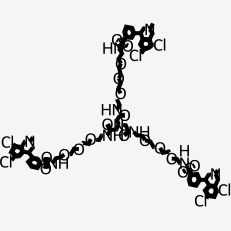 CN1Cc2c(Cl)cc(Cl)cc2C(c2cccc(S(=O)(=O)NCCOCCOCCOCCNC(=O)CN(CC(=O)NCCOCCOCCOCCNS(=O)(=O)c3cccc(C4CN(C)Cc5c(Cl)cc(Cl)cc54)c3)CC(=O)NCCOCCOCCOCCNS(=O)(=O)c3cccc(C4CN(C)Cc5c(Cl)cc(Cl)cc54)c3)c2)C1